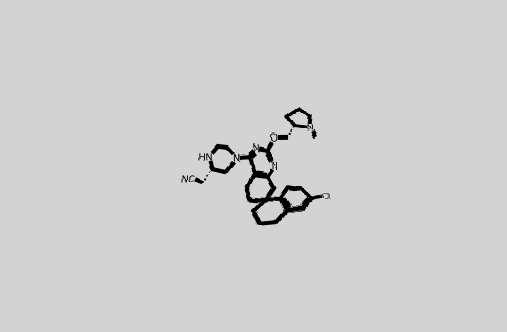 CN1CCC[C@H]1COc1nc2c(c(N3CCN[C@@H](CC#N)C3)n1)CCC1(CCCc3cc(Cl)ccc31)C2